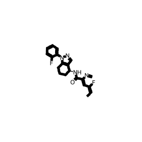 C=N/C(=C\C(F)=C/C)C(=O)N[C@@H]1CCCc2c1cnn2-c1ccccc1F